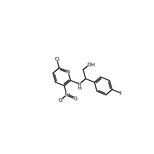 O=[N+]([O-])c1ccc(Cl)nc1NC(CO)c1ccc(F)cc1